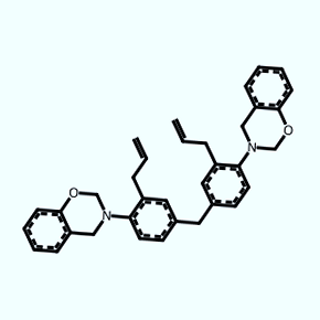 C=CCc1cc(Cc2ccc(N3COc4ccccc4C3)c(CC=C)c2)ccc1N1COc2ccccc2C1